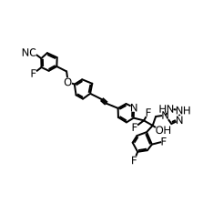 N#Cc1ccc(COc2ccc(C#Cc3ccc(C(F)(F)C(O)(CN4C=NNN4)c4ccc(F)cc4F)nc3)cc2)cc1F